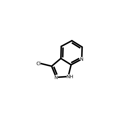 Clc1n[nH]c2ncccc12